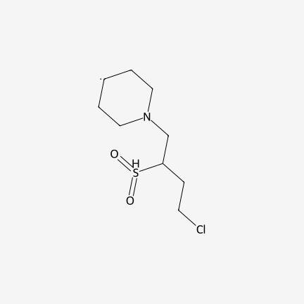 O=[SH](=O)C(CCCl)CN1CC[CH]CC1